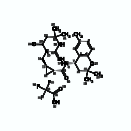 Cc1ccc2c(c1)[C@@H](NC(=O)[C@@H]1C[C@H]1CN1C(=N)NC(C)(C)CC1=O)CC(C)(C)O2.O=C(O)C(F)(F)F